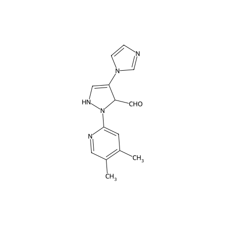 Cc1cnc(N2NC=C(n3ccnc3)C2C=O)cc1C